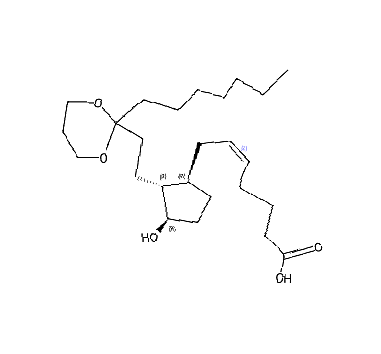 CCCCCCCC1(CC[C@@H]2[C@@H](C/C=C\CCCC(=O)O)CC[C@H]2O)OCCCO1